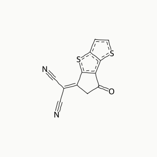 N#CC(C#N)=C1CC(=O)c2c1sc1ccsc21